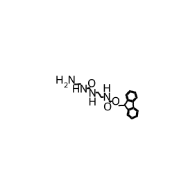 NCCNC(=O)NCCNC(=O)OCC1c2ccccc2-c2ccccc21